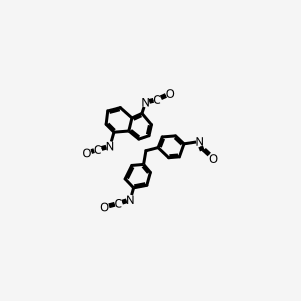 O=C=Nc1ccc(Cc2ccc(N=C=O)cc2)cc1.O=C=Nc1cccc2c(N=C=O)cccc12